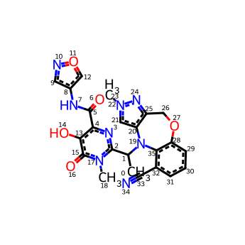 CC(c1nc(C(=O)Nc2cnoc2)c(O)c(=O)n1C)N1c2cn(C)nc2COc2cccc(C#N)c21